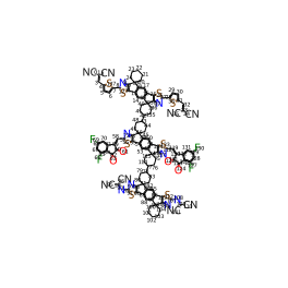 N#CC(C#N)=Cc1ccc(-c2nc3c(s2)-c2cc4c(cc2C32CCCCC2)-c2sc(-c3ccc(C=C(C#N)C#N)s3)nc2C42CCC(C3CCC4(CC3)c3cc5c(cc3-c3sc(/C=C6\C(=O)C(=O)c7c(F)cc(F)cc76)nc34)C3(CCC(C4CCC6(CC4)c4cc7c(cc4-c4sc(N=C(C#N)C#N)nc46)C4(CCCCC4)c4nc(N=C(C#N)C#N)sc4-7)CC3)c3nc(/C=C4\C(=O)C(=O)c6c(F)cc(F)cc64)sc3-5)CC2)s1